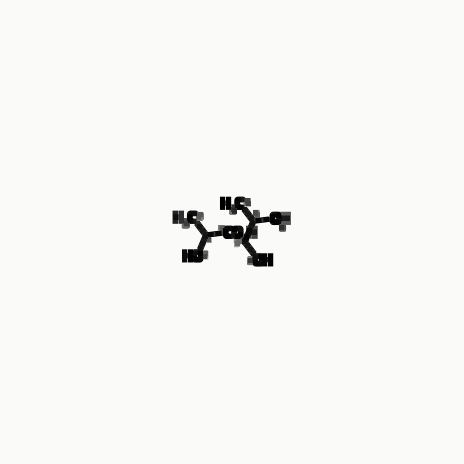 CC(O)C(=O)O.CC(O)CO